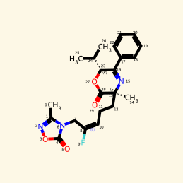 Cc1noc(=O)n1C/C(F)=C\CC[C@]1(C)N=C(c2ccccc2)[C@@H](C(C)C)OC1=O